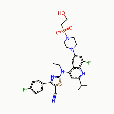 CCN(c1nc(-c2ccc(F)cc2)c(C#N)s1)c1cc(C(C)C)nc2c(F)cc(N3CCN(S(=O)(=O)CCO)CC3)cc12